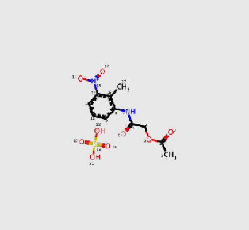 CC(=O)OCC(=O)Nc1cccc([N+](=O)[O-])c1C.O=S(=O)(O)O